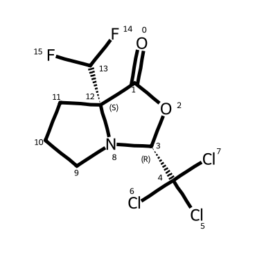 O=C1O[C@H](C(Cl)(Cl)Cl)N2CCC[C@@]12C(F)F